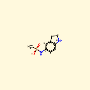 CS(=O)(=O)Nc1ccc2c(c1)CCN2